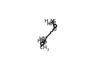 Cc1ccc(NC(=S)NCCCCCCCCOc2cccc(NC(N)=S)c2)c(F)c1